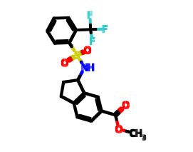 COC(=O)c1ccc2c(c1)C(NS(=O)(=O)c1ccccc1C(F)(F)F)CC2